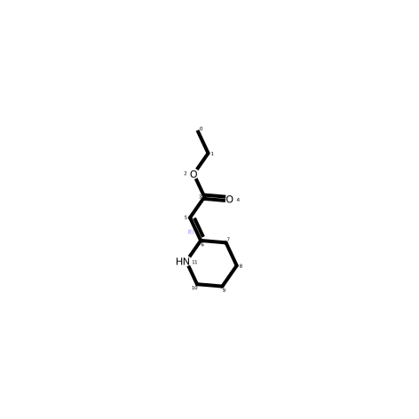 CCOC(=O)/C=C1\CCCCN1